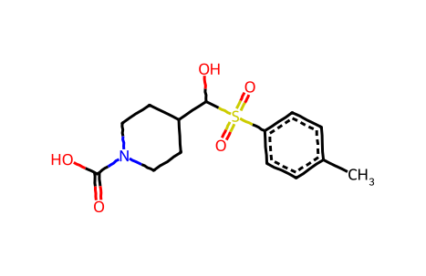 Cc1ccc(S(=O)(=O)C(O)C2CCN(C(=O)O)CC2)cc1